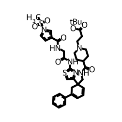 CC(C)(C)OC(=O)CCN1CCC(C(=O)NCC2(c3csc(NC(=O)CNC(=O)c4ccn(S(C)(=O)=O)c4)n3)C=CC=C(c3ccccc3)C2)CC1